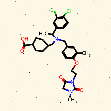 Cc1cc(CN(CC2CCC(C(=O)O)CC2)C(C)c2ccc(Cl)c(Cl)c2)ccc1OCCN1C(=O)CN(C)C1=O